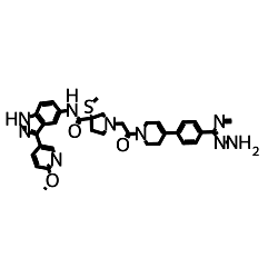 C=N/C(=N\N)c1ccc(C2=CCN(C(=O)CN3CC[C@@](SC)(C(=O)Nc4ccc5[nH]nc(-c6ccc(OC)nc6)c5c4)C3)CC2)cc1